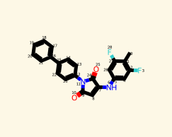 Cc1c(F)cc(NC2=CC(=O)N(c3ccc(-c4ccccc4)cc3)C2=O)cc1F